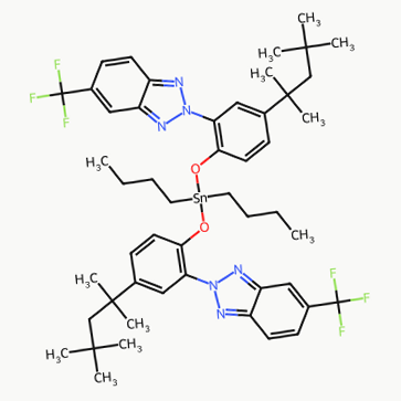 CCC[CH2][Sn]([CH2]CCC)([O]c1ccc(C(C)(C)CC(C)(C)C)cc1-n1nc2ccc(C(F)(F)F)cc2n1)[O]c1ccc(C(C)(C)CC(C)(C)C)cc1-n1nc2ccc(C(F)(F)F)cc2n1